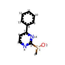 C[S+]([O-])c1nccc(-c2ccccc2)n1